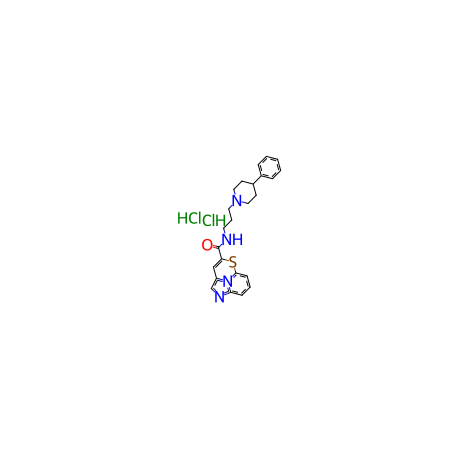 Cl.Cl.O=C(NCCCN1CCC(c2ccccc2)CC1)C1=Cc2cnc3cccc(n23)S1